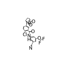 N#Cc1cc(NC(=O)c2cc(N3CCCS3(=O)=O)ccc2Cl)cc(OC(F)F)c1